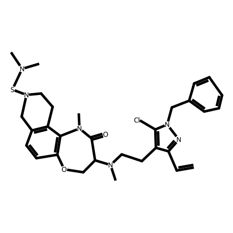 C=Cc1nn(Cc2ccccc2)c(Cl)c1CCN(C)C1COc2ccc3c(c2N(C)C1=O)CCN(SN(C)C)C3